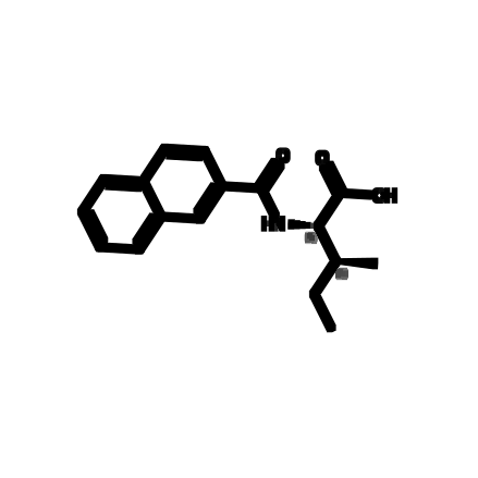 CC[C@H](C)[C@H](NC(=O)c1ccc2ccccc2c1)C(=O)O